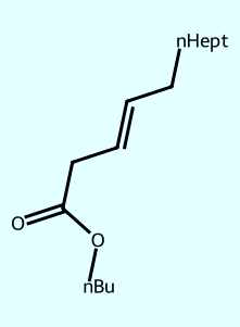 CCCCCCCCC=CCC(=O)OCCCC